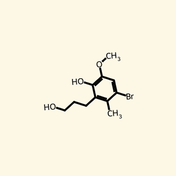 COc1cc(Br)c(C)c(CCCO)c1O